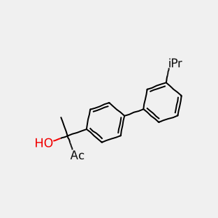 CC(=O)C(C)(O)c1ccc(-c2cccc(C(C)C)c2)cc1